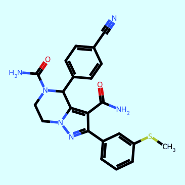 CSc1cccc(-c2nn3c(c2C(N)=O)C(c2ccc(C#N)cc2)N(C(N)=O)CC3)c1